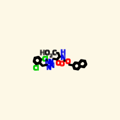 O=C(O)CC(NC(=O)OCc1ccc2ccccc2c1)C(=O)Cn1nnc(Cc2c(Cl)cccc2Cl)n1